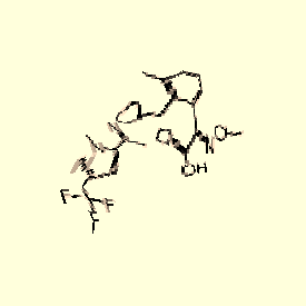 CO/N=C(/C(=O)O)c1cccc(C)c1CO/N=C(\C)c1cc(C(F)(F)F)nn1C